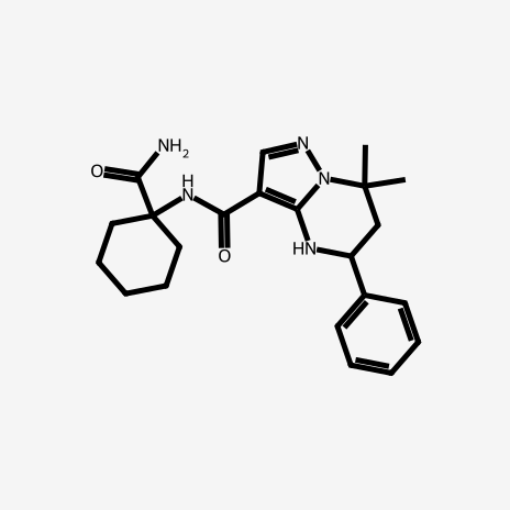 CC1(C)CC(c2ccccc2)Nc2c(C(=O)NC3(C(N)=O)CCCCC3)cnn21